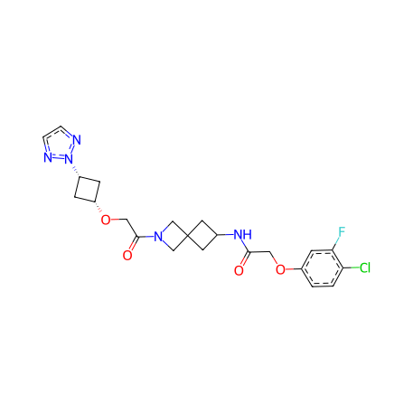 O=C(COc1ccc(Cl)c(F)c1)NC1CC2(C1)CN(C(=O)CO[C@H]1C[C@@H](n3nccn3)C1)C2